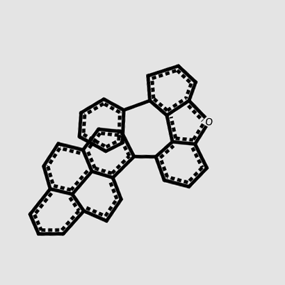 c1ccc(-c2cccc3oc4cccc(-c5ccc6ccc7cccc8ccc5c6c78)c4c23)cc1